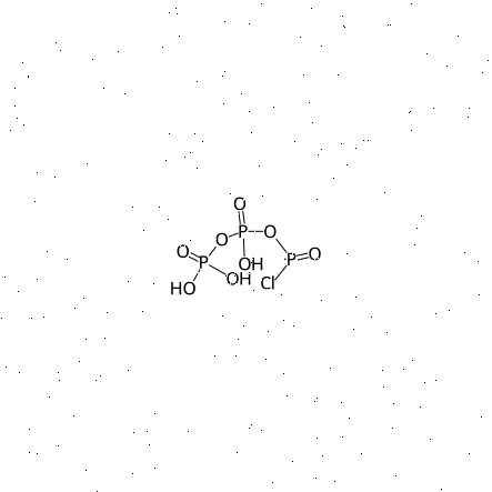 O=[P](Cl)OP(=O)(O)OP(=O)(O)O